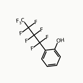 Oc1ccccc1C(F)(F)C(F)(F)C(F)(F)C(F)(F)F